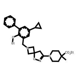 CCOC(=O)C1(C)CCN(C2=NOC3(C2)CN(Cc2cc(C4CC4)cc(-c4ccccc4)c2OCC)C3)CC1